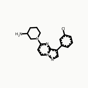 NC1CCCN(c2ccn3ncc(-c4cccc(Cl)c4)c3n2)C1